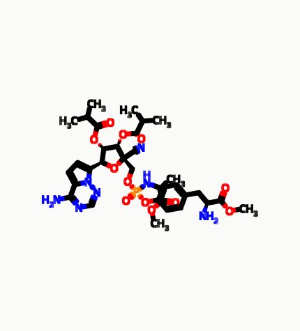 COC(=O)[C@H](C)NP(=O)(OC[C@@]1(C#N)O[C@@H](c2ccc3c(N)ncnn23)[C@H](OC(=O)C(C)C)[C@@H]1OC(=O)C(C)C)Oc1ccc(C[C@H](N)C(=O)OC)cc1